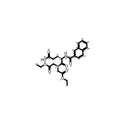 CCOC(=O)CN(CC(=O)OCC)C(=O)[C@@H](CCC(=O)O)NC(=O)c1ccc2ccccc2c1